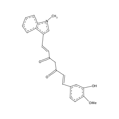 COc1ccc(C=CC(=O)CC(=O)C=Cc2cn(C)c3ccccc23)cc1O